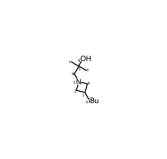 CCC(C)C1CN(CC(C)(C)O)C1